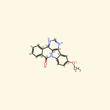 COc1ccc2c(c1)c1ncnc3c4ccccc4c(=O)n2c31